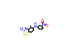 Cc1c(Nc2cccc([N+](=O)[O-])c2)ccc(S)c1N